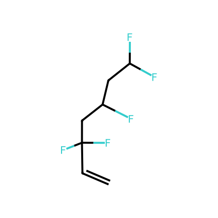 C=CC(F)(F)CC(F)CC(F)F